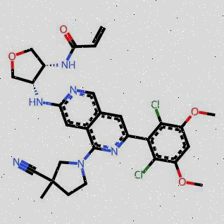 C=CC(=O)N[C@H]1COC[C@H]1Nc1cc2c(N3CCC(C)(C#N)C3)nc(-c3c(Cl)c(OC)cc(OC)c3Cl)cc2cn1